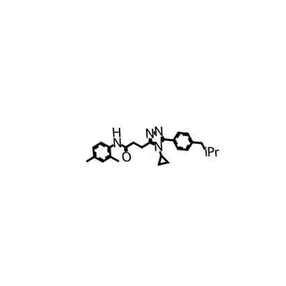 Cc1ccc(NC(=O)CCc2nnc(-c3ccc(CC(C)C)cc3)n2C2CC2)c(C)c1